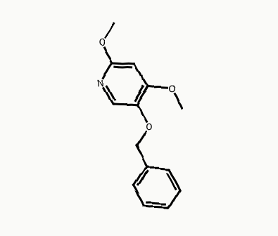 COc1cc(OC)c(OCc2ccccc2)cn1